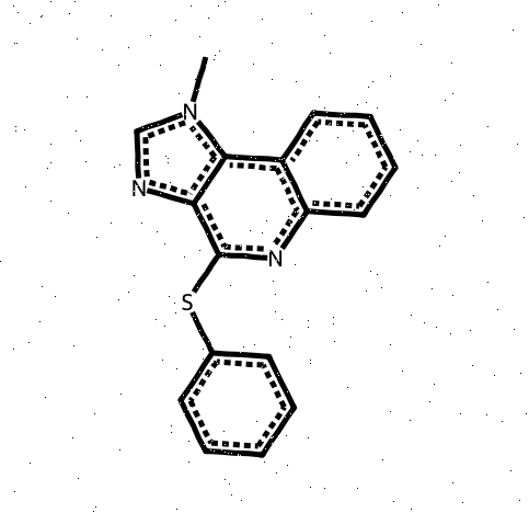 Cn1cnc2c(Sc3ccccc3)nc3ccccc3c21